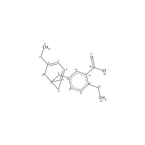 CCC1=CC=C2CC2(Cc2ccc(CC)c(C(=O)Cl)c2)C1